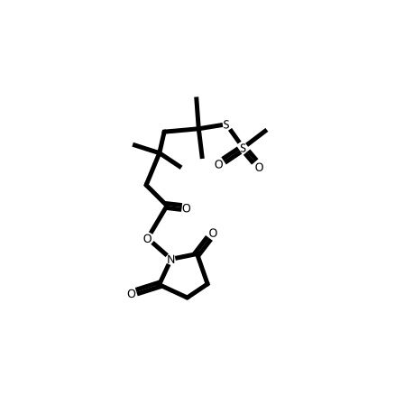 CC(C)(CC(=O)ON1C(=O)CCC1=O)CC(C)(C)SS(C)(=O)=O